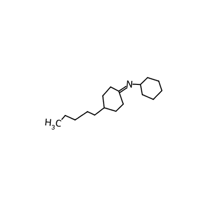 CCCCCC1CCC(=NC2CCCCC2)CC1